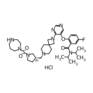 CC(C)N(C(=O)c1cc(F)ccc1Oc1cncnc1N1CC2(CCN(C[C@H]3CCN(S(=O)(=O)N4CCCNCC4)C3)CC2)C1)C(C)C.Cl